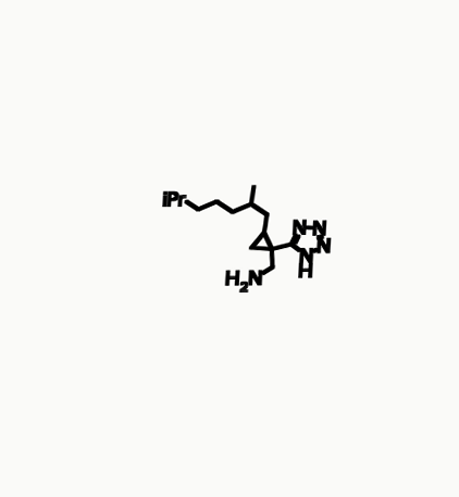 CC(C)CCCC(C)CC1CC1(CN)c1nnn[nH]1